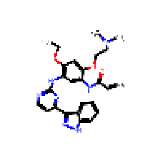 C=CC(=O)Nc1cc(Nc2nccc(-c3n[nH]c4ccccc34)n2)c(OCC)cc1OCCN(C)C